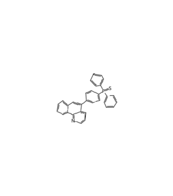 S=P(c1ccccc1)(c1ccccc1)c1ccc(-c2cc3ccccc3c3ncccc23)cc1